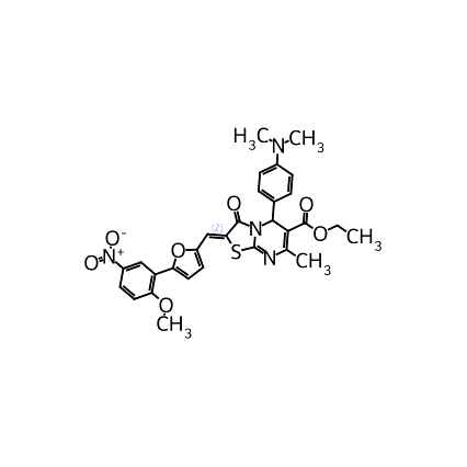 CCOC(=O)C1=C(C)N=c2s/c(=C\c3ccc(-c4cc([N+](=O)[O-])ccc4OC)o3)c(=O)n2C1c1ccc(N(C)C)cc1